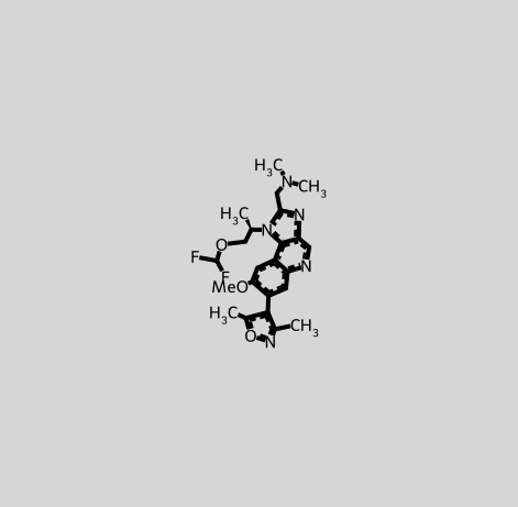 COc1cc2c(cc1-c1c(C)noc1C)ncc1nc(CN(C)C)n([C@H](C)COC(F)F)c12